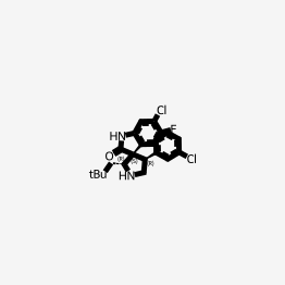 CC(C)(C)C[C@H]1NC[C@H](c2cccc(Cl)c2)[C@@]12C(=O)Nc1cc(Cl)c(F)cc12